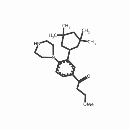 COCCC(=O)c1ccc(N2CCNCC2)c(C2CC(C)(C)CC(C)(C)C2)c1